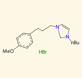 Br.CCCCN1C=CN(CCCc2ccc(OC)cc2)C1